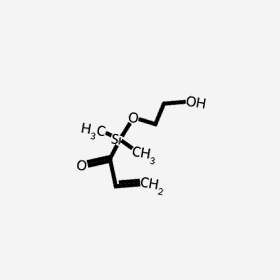 C=CC(=O)[Si](C)(C)OCCO